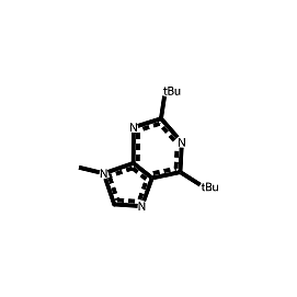 Cn1cnc2c(C(C)(C)C)nc(C(C)(C)C)nc21